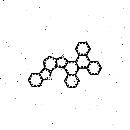 c1ccc2c(c1)oc1c2ccc2sc3c4c5ccccc5c5ccccc5c4c4ccccc4c3c21